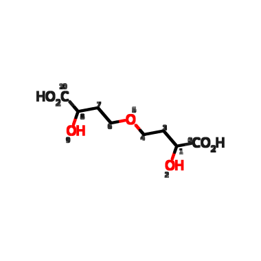 O=C(O)C(O)CCOCCC(O)C(=O)O